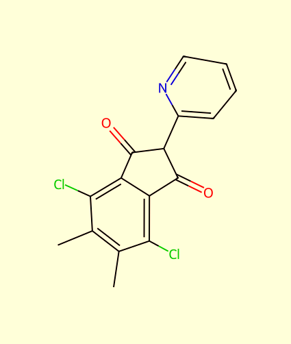 Cc1c(C)c(Cl)c2c(c1Cl)C(=O)C(c1ccccn1)C2=O